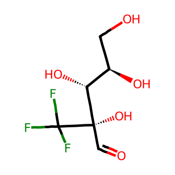 O=C[C@](O)([C@H](O)[C@H](O)CO)C(F)(F)F